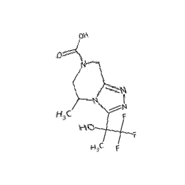 CC1CN(C(=O)O)Cc2nnc(C(C)(O)C(F)(F)F)n21